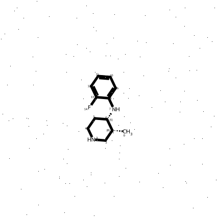 C[C@@H]1CNCC[C@@H]1Nc1ccccc1F